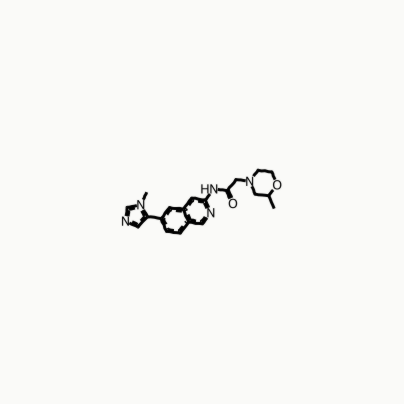 CC1CN(CC(=O)Nc2cc3cc(-c4cncn4C)ccc3cn2)CCO1